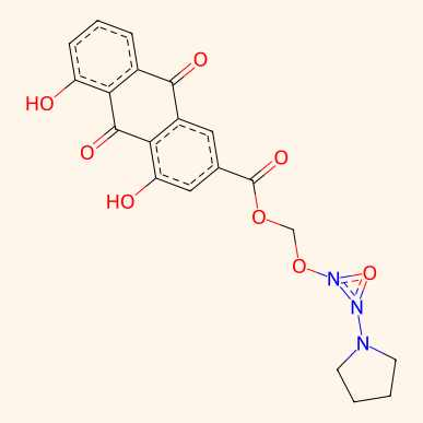 O=C(OCOn1on1N1CCCC1)c1cc(O)c2c(c1)C(=O)c1cccc(O)c1C2=O